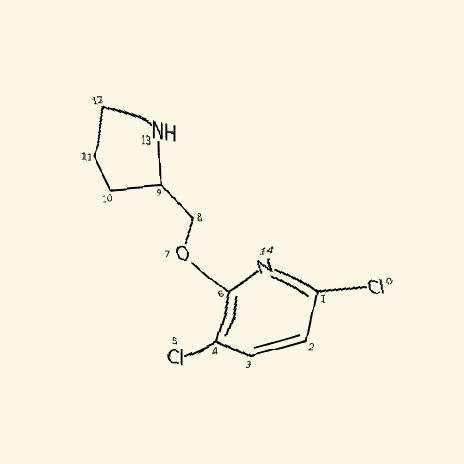 Clc1ccc(Cl)c(OCC2CCCN2)n1